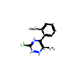 COc1ccccc1-c1nc(Cl)nnc1C